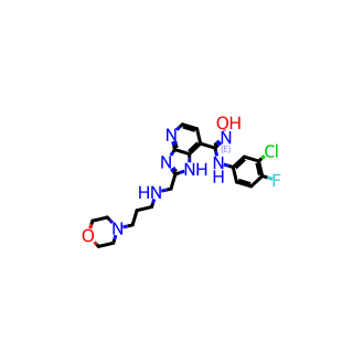 O/N=C(/Nc1ccc(F)c(Cl)c1)c1ccnc2nc(CNCCCN3CCOCC3)[nH]c12